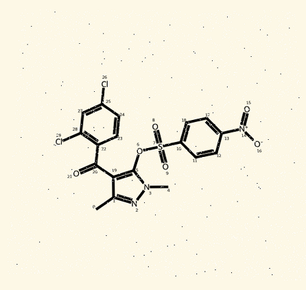 Cc1nn(C)c(OS(=O)(=O)c2ccc([N+](=O)[O-])cc2)c1C(=O)c1ccc(Cl)cc1Cl